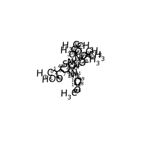 CCC(C(=O)O)C1=Cc2nn(Cc3ccc(OC)cc3)c3nc(N(C(=O)OC(C)(C)C)C(=O)OC(C)(C)C)nc(c23)SC1